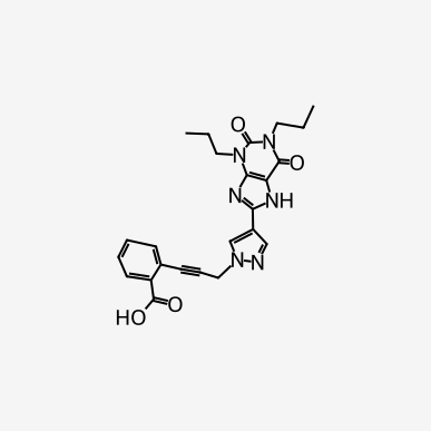 CCCn1c(=O)c2[nH]c(-c3cnn(CC#Cc4ccccc4C(=O)O)c3)nc2n(CCC)c1=O